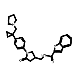 O=C(NCC1CC(=O)N(c2ccc(C3(CN4CCCC4)CC3)cc2)C1)c1cc2ccccc2s1